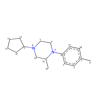 Cc1ccc(N2CCN(C3CCCC3)CC2C)cc1